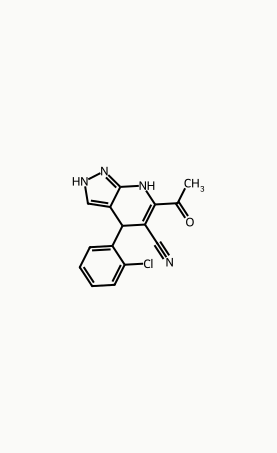 CC(=O)C1=C(C#N)C(c2ccccc2Cl)c2c[nH]nc2N1